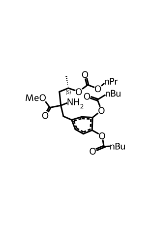 CCCCC(=O)Oc1ccc(CC(N)(C[C@H](C)OC(=O)OCCC)C(=O)OC)cc1OC(=O)CCCC